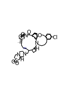 C[C@@H]1[C@@H](C)C/C=C/C(CN2CCN3CCS(=O)(=O)C[C@@H]3C2)C2CC[C@H]2CN2CCCCc3cc(Cl)ccc3COc3c#cc(cc32)C(=O)NS1(=O)=O